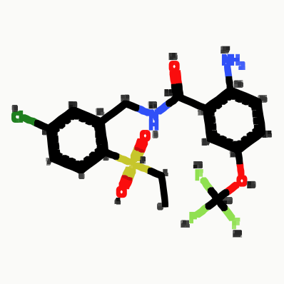 CCS(=O)(=O)c1ccc(Cl)cc1CNC(=O)c1cc(OC(F)(F)F)ccc1N